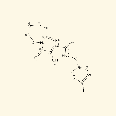 O=C(NCc1ccc(F)cc1)c1nc2n(c(=O)c1O)CCOCC2